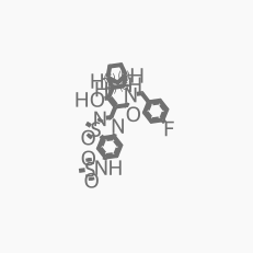 CS(=O)(=O)Nc1ccc2c(c1)S(C)(=O)=NC(C1=C(O)[C@@H]3[C@H]4CC[C@H](C4)[C@@H]3N(Cc3ccc(F)cc3)C1=O)=N2